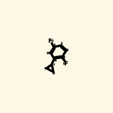 Fc1c[c]c(F)c(C2CC2)c1